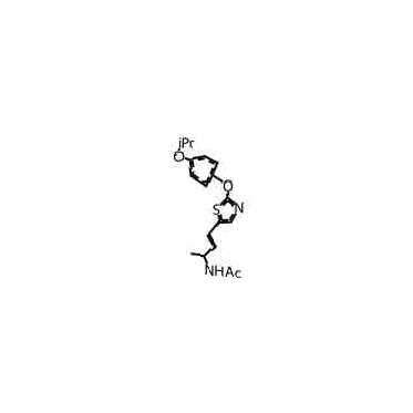 CC(=O)NC(C)/C=C/c1cnc(Oc2ccc(OC(C)C)cc2)s1